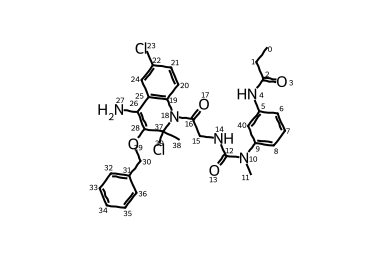 CCC(=O)Nc1cccc(N(C)C(=O)NCC(=O)N2c3ccc(Cl)cc3C(N)=C(OCc3ccccc3)C2(C)Cl)c1